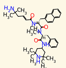 CN(C(=O)C=CCC(C)(C)N)[C@H](Cc1ccc2ccccc2c1)C(=O)N(C)[C@H](Cc1ccccc1)C(=O)NC1CC(C)(C)NC(C)(C)C1